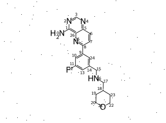 Nc1ncnc2ccc(-c3cc(F)cc(CNCC4CCOCC4)c3)nc12